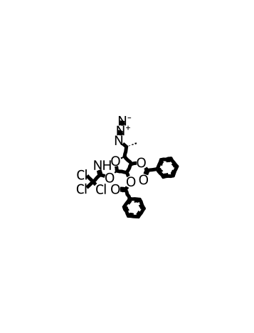 C[C@@H](N=[N+]=[N-])[C@H]1O[C@@H](OC(=N)C(Cl)(Cl)Cl)C(OC(=O)c2ccccc2)C1OC(=O)c1ccccc1